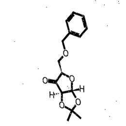 CC1(C)O[C@H]2O[C@H](COCc3ccccc3)C(=O)[C@@H]2O1